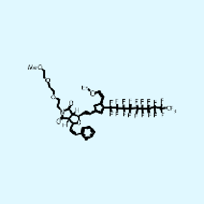 CCO/C=C\C1CC(/C=C/C2OC(/C=C\c3ccccc3)[C@@H]3C(=O)N(CCOCCOCCOC)C(=O)[C@H]23)CC1C(F)(F)C(F)(F)C(F)(F)C(F)(F)C(F)(F)C(F)(F)C(F)(F)C(F)(F)C(F)(F)C(F)(F)F